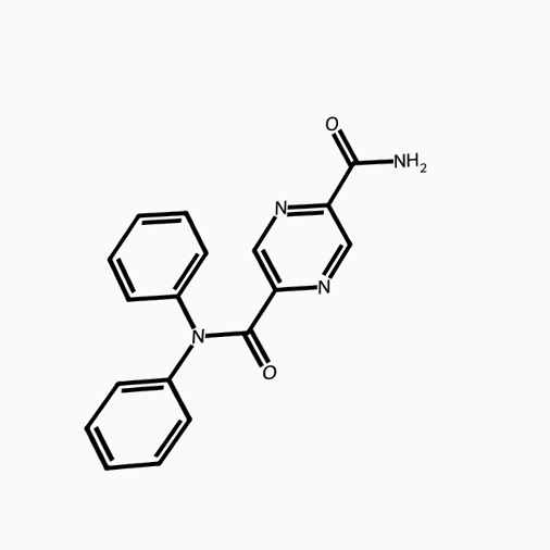 NC(=O)c1cnc(C(=O)N(c2ccccc2)c2ccccc2)cn1